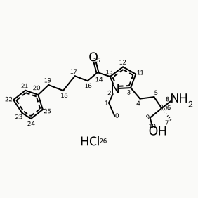 CCn1c(CC[C@@](C)(N)CO)ccc1C(=O)CCCCc1ccccc1.Cl